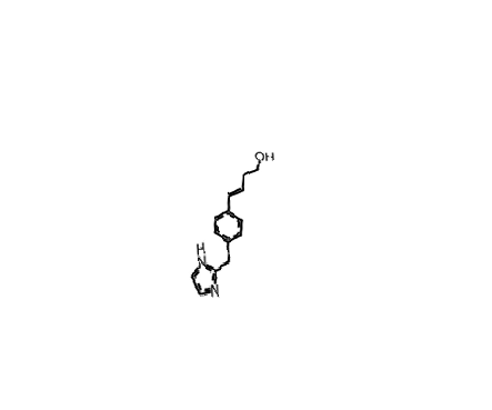 OCCC=Cc1ccc(Cc2ncc[nH]2)cc1